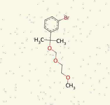 COCCOCOC(C)(C)c1cccc(Br)c1